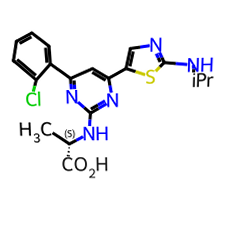 CC(C)Nc1ncc(-c2cc(-c3ccccc3Cl)nc(N[C@@H](C)C(=O)O)n2)s1